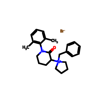 Cc1cccc(C)c1N1CCCC([N+]2(Cc3ccccc3)CCCC2)C1=O.[Br-]